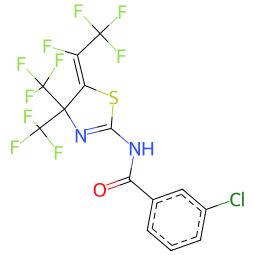 O=C(NC1=NC(C(F)(F)F)(C(F)(F)F)/C(=C(\F)C(F)(F)F)S1)c1cccc(Cl)c1